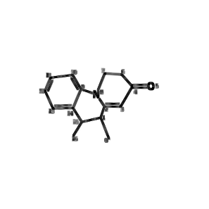 CC1C2=CC(=O)CCN2c2ccccc2C1C